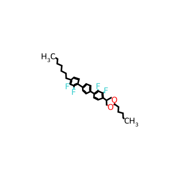 CCCCCCCc1ccc(-c2ccc(-c3ccc(C4COC(CCCCC)OC4)c(F)c3F)cc2)c(F)c1F